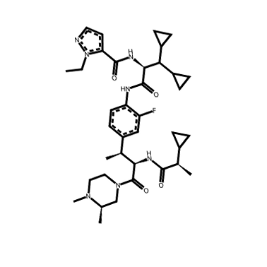 CCn1nccc1C(=O)N[C@H](C(=O)Nc1ccc([C@H](C)[C@@H](NC(=O)[C@H](C)C2CC2)C(=O)N2CCN(C)[C@H](C)C2)cc1F)C(C1CC1)C1CC1